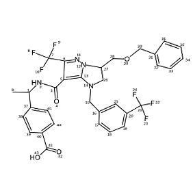 CC(NC(=O)c1c(C(F)(F)F)nn2c1N(Cc1cccc(C(F)(F)F)c1)CC2COCc1ccccc1)c1ccc(C(=O)O)cc1